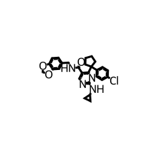 O=C(NCc1ccc2c(c1)OCO2)c1cnc(NC2CC2)nc1C1(c2ccc(Cl)cc2)CCCC1